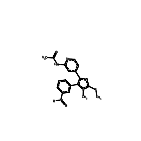 CSc1nc(-c2ccnc(NC(C)=O)c2)c(-c2cccc([N+](=O)[O-])c2)n1C